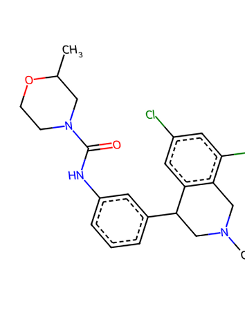 CC1CN(C(=O)Nc2cccc(C3CN(C)Cc4c(Cl)cc(Cl)cc43)c2)CCO1